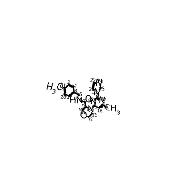 Cc1ccc(CNC(=O)C2COCCN2c2cc(C)nc(-n3ccnc3)n2)cc1